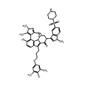 Cc1cc(OCCCc2c3n(c4c(-c5c(C)nn(C)c5C)c(Cl)ccc24)[C@H](C)CN(c2cn(C)c4ccc(S(=O)(=O)N5CCNCC5)cc24)C3=O)cc(C)c1Cl